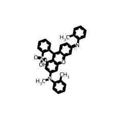 Cc1ccccc1/N=c1\ccc2c(-c3ccccc3S(=O)(=O)O)c3ccc(N(C)c4ccccc4C)cc3oc-2c1